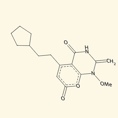 C=C1NC(=O)c2c(CCC3CCCC3)cc(=O)oc2N1OC